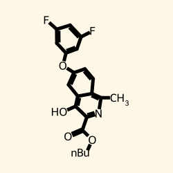 CCCCOC(=O)c1nc(C)c2ccc(Oc3cc(F)cc(F)c3)cc2c1O